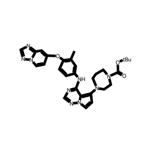 Cc1cc(Nc2ncnn3ccc(N4CCCN(C(=O)OC(C)(C)C)CC4)c23)ccc1Oc1ccn2ncnc2c1